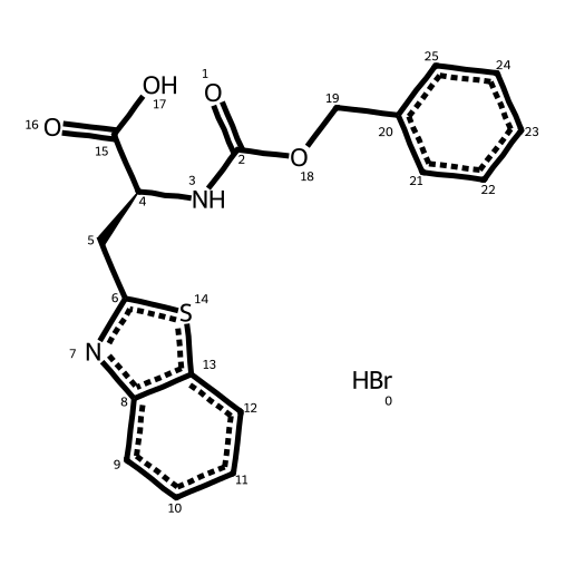 Br.O=C(N[C@@H](Cc1nc2ccccc2s1)C(=O)O)OCc1ccccc1